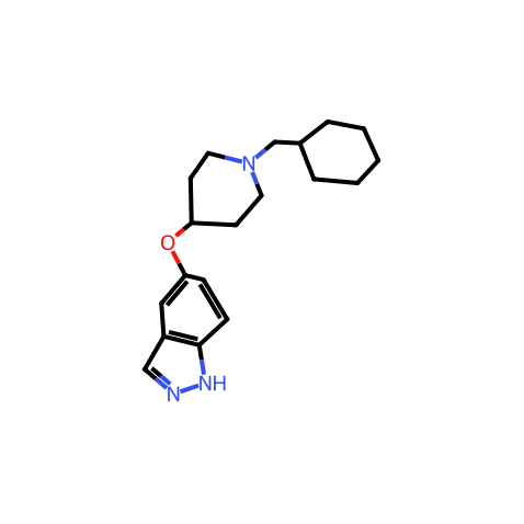 c1cc2[nH]ncc2cc1OC1CCN(CC2CCCCC2)CC1